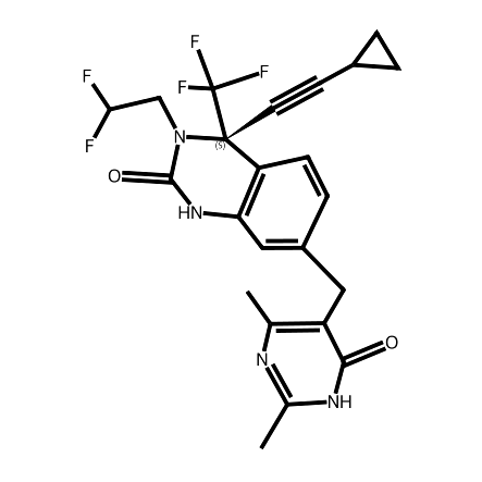 Cc1nc(C)c(Cc2ccc3c(c2)NC(=O)N(CC(F)F)[C@]3(C#CC2CC2)C(F)(F)F)c(=O)[nH]1